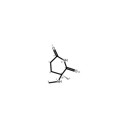 CN[C@@]1(C)CCC(=O)NC1=O